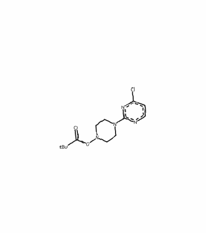 CC(C)(C)C(=O)ON1CCN(c2nccc(Cl)n2)CC1